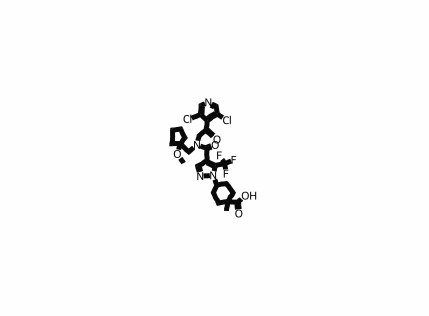 COC1(CN(CC(=O)c2c(Cl)cncc2Cl)C(=O)c2cnn(C3CCC(C)(C(=O)O)CC3)c2C(F)(F)F)CCCC1